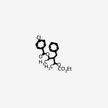 CCOC(=O)OC(C)C(Cc1ccccc1)C(C)OC(=O)c1ccc(Cl)cc1